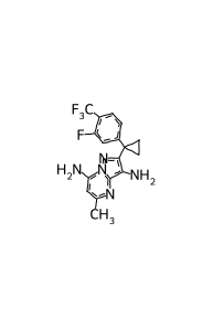 Cc1cc(N)n2nc(C3(c4ccc(C(F)(F)F)c(F)c4)CC3)c(N)c2n1